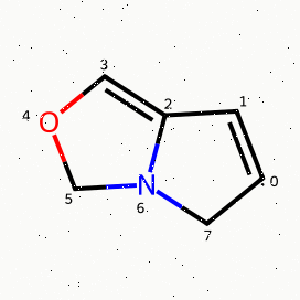 [C]1=CC2=COCN2C1